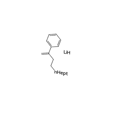 C=C(CCCCCCCCC)c1ccccc1.[LiH]